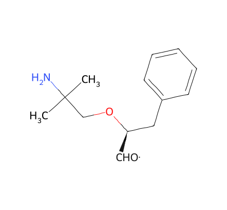 CC(C)(N)CO[C@H]([C]=O)Cc1ccccc1